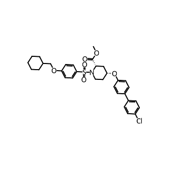 COC(=O)[C@@H]1C[C@H](Oc2ccc(-c3ccc(Cl)cc3)cc2)CCN1S(=O)(=O)c1ccc(OCC2CCCCC2)cc1